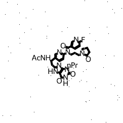 CCCn1c(=O)[nH]c(=O)c2[nH]c(C[C@H](NC(C)=O)c3ccc(N(CCCN4CCCC4=O)C(=O)c4ccc(F)nc4)nc3)nc21